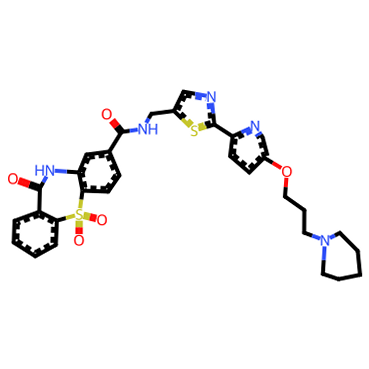 O=C(NCc1cnc(-c2ccc(OCCCN3CCCCC3)cn2)s1)c1ccc2c(c1)NC(=O)c1ccccc1S2(=O)=O